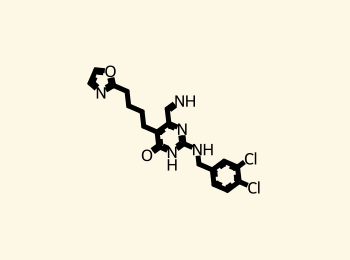 N=Cc1nc(NCc2ccc(Cl)c(Cl)c2)[nH]c(=O)c1CCCCc1ncco1